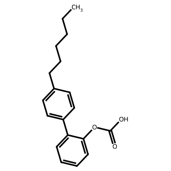 CCCCCCc1ccc(-c2ccccc2OC(=O)O)cc1